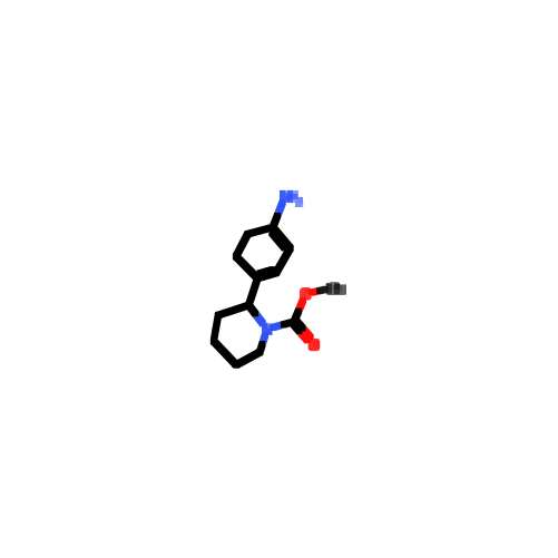 CC(C)(C)OC(=O)N1CCCCC1C1=CC=C(N)CC1